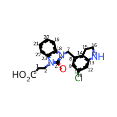 O=C(O)CCn1c(=O)n(Cc2cc(Cl)cc3c2CCN3)c2ccccc21